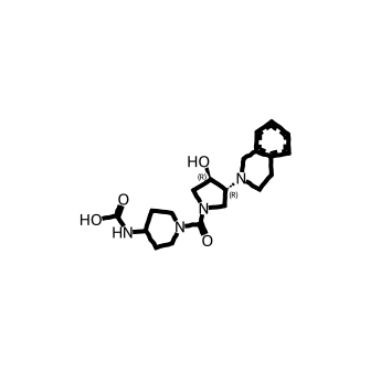 O=C(O)NC1CCN(C(=O)N2C[C@@H](O)[C@H](N3CCc4ccccc4C3)C2)CC1